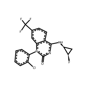 O=c1nc(N[C@H]2C[C@H]2F)c2ccc(C(F)(F)F)cc2n1-c1ccccc1Cl